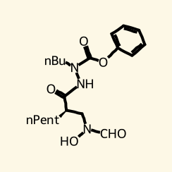 CCCCC[C@H](CN(O)C=O)C(=O)NN(CCCC)C(=O)Oc1ccccc1